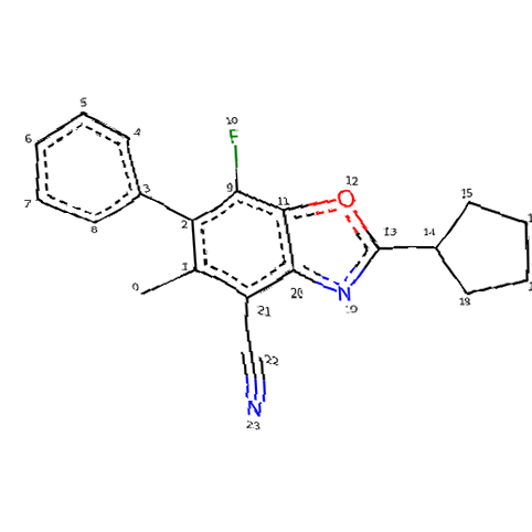 Cc1c(-c2ccccc2)c(F)c2oc(C3CCCC3)nc2c1C#N